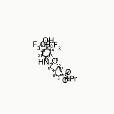 CC(C)S(=O)(=O)c1ccc(CC(=O)Nc2ccc(C(O)(C(F)(F)F)C(F)(F)F)cc2)cc1